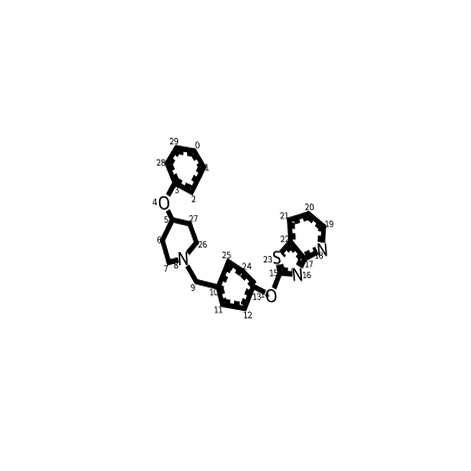 c1ccc(OC2CCN(Cc3ccc(Oc4nc5ncccc5s4)cc3)CC2)cc1